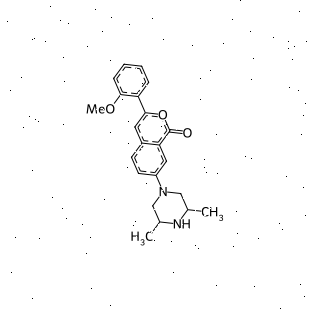 COc1ccccc1-c1cc2ccc(N3CC(C)NC(C)C3)cc2c(=O)o1